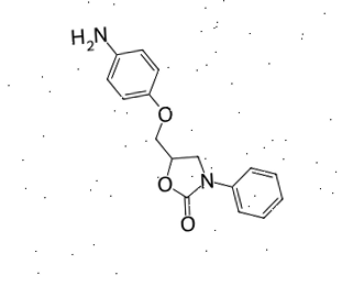 Nc1ccc(OCC2CN(c3ccccc3)C(=O)O2)cc1